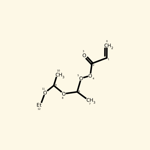 C=CC(=O)OOC(C)OC(C)OCC